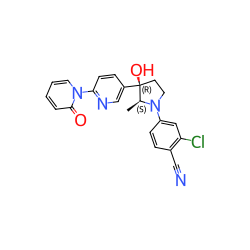 C[C@@H]1N(c2ccc(C#N)c(Cl)c2)CC[C@@]1(O)c1ccc(-n2ccccc2=O)nc1